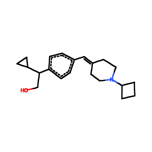 OCC(c1ccc(C=C2CCN(C3CCC3)CC2)cc1)C1CC1